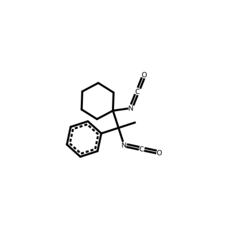 CC(N=C=O)(c1ccccc1)C1(N=C=O)CCCCC1